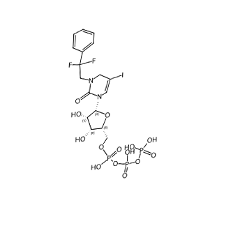 O=C1N(CC(F)(F)c2ccccc2)CC(I)=CN1[C@@H]1O[C@H](COP(=O)(O)OP(=O)(O)OP(=O)(O)O)[C@H](O)[C@@H]1O